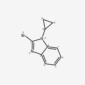 Brc1nc2ccccc2n1C1CC1